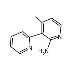 Cc1ccnc(N)c1-c1ccccn1